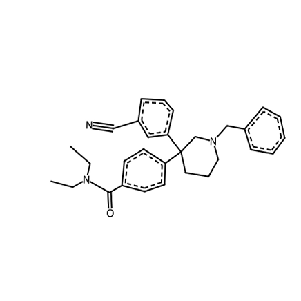 CCN(CC)C(=O)c1ccc(C2(c3cccc(C#N)c3)CCCN(Cc3ccccc3)C2)cc1